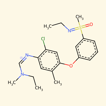 CCN=S(C)(=O)c1cccc(Oc2cc(Cl)c(/N=C\N(C)CC)cc2C)c1